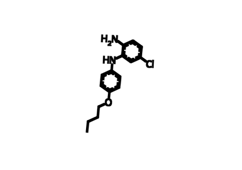 CCCCOc1ccc(Nc2cc(Cl)ccc2N)cc1